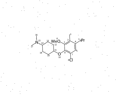 COc1c(C)c(C(C)C)cc(Cl)c1OC1CCC(N(C)C)CC1